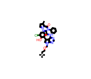 Cc1ccn2nc([C@H](C)Nc3ncnc4c3c(-c3cccc(Cl)c3O)cn4COCC[Si](C)(C)C)n(-c3ccccc3)c(=O)c12